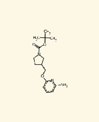 CC(C)(C)OC(=O)N1CCC(COc2cccc(N)n2)C1